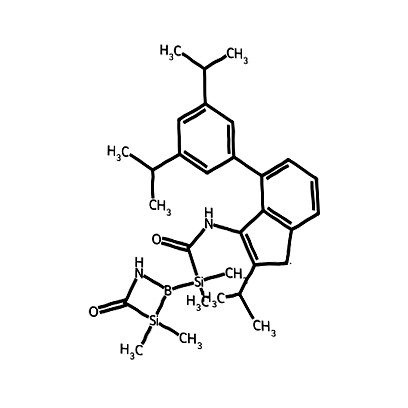 CC(C)C1=C(NC(=O)[Si](C)(C)B2NC(=O)[Si]2(C)C)c2c(cccc2-c2cc(C(C)C)cc(C(C)C)c2)[CH]1